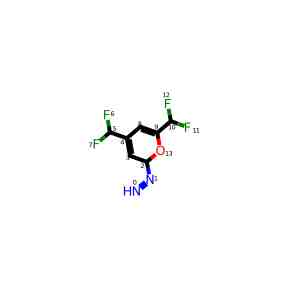 N=NC1C=C(C(F)F)C=C(C(F)F)O1